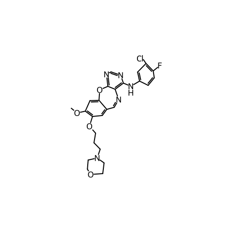 COc1cc2c(cc1OCCCN1CCOCC1)C=Nc1c(Nc3ccc(F)c(Cl)c3)ncnc1O2